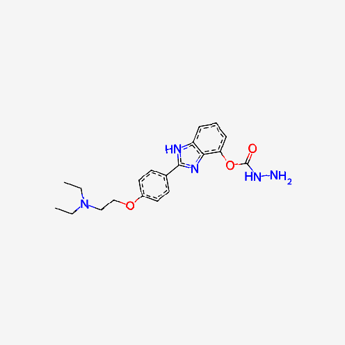 CCN(CC)CCOc1ccc(-c2nc3c(OC(=O)NN)cccc3[nH]2)cc1